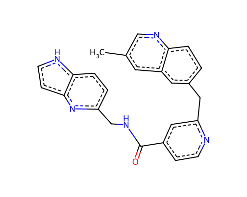 Cc1cnc2ccc(Cc3cc(C(=O)NCc4ccc5[nH]ccc5n4)ccn3)cc2c1